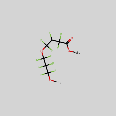 CC(C)(C)OC(=O)C(F)(F)C(F)C(F)(F)OC(F)(F)C(F)(F)C(F)(F)OC(F)(F)F